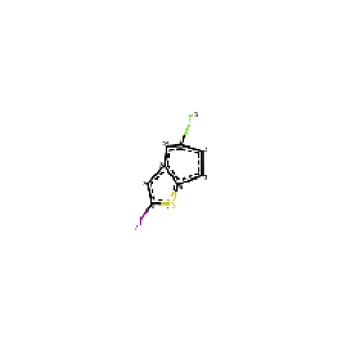 Fc1ccc2sc(I)cc2c1